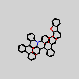 c1ccc(N(c2ccc(-c3cccc4c3oc3ccccc34)cc2)c2ccccc2-c2cc3ccccc3c3ccccc23)c(-c2cc3ccccc3c3ccccc23)c1